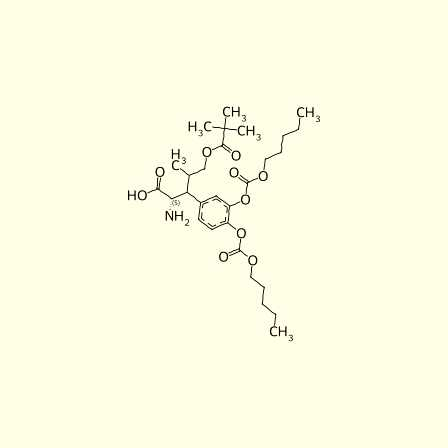 CCCCCOC(=O)Oc1ccc(C(C(C)COC(=O)C(C)(C)C)[C@H](N)C(=O)O)cc1OC(=O)OCCCCC